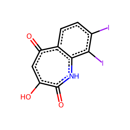 O=c1[nH]c2c(I)c(I)ccc2c(=O)cc1O